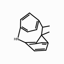 CC1c2ccc(cc2)Nc2ccc3cc2C31C